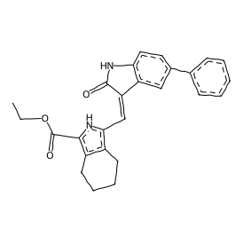 CCOC(=O)c1[nH]c(/C=C2\C(=O)Nc3ccc(-c4ccccc4)cc32)c2c1CCCC2